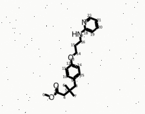 COC(=O)CC(C)(C)Cc1ccc(OCCCNc2ccccn2)cc1